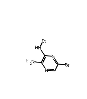 CCNc1nc(Br)cnc1N